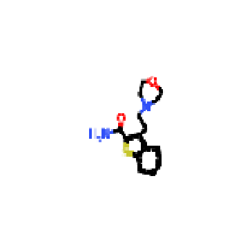 NC(=O)c1sc2ccccc2c1CCN1CCOCC1